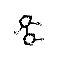 Cc1cccc(C)c1-c1ccnc(Br)c1